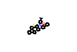 CC(C)c1ccc(N(c2cc3sc4ccc5c6ccccc6c6ccccc6c5c4c3c3ccccc23)c2cccc3c2oc2ccccc23)cc1